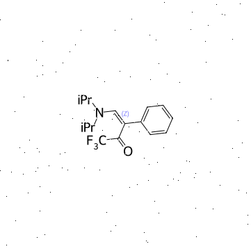 CC(C)N(/C=C(\C(=O)C(F)(F)F)c1ccccc1)C(C)C